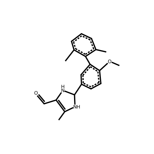 COc1ccc(C2NC(C)=C(C=O)N2)cc1-c1c(C)cccc1C